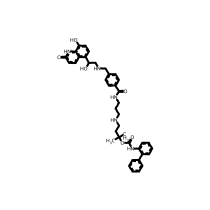 CC(C)(CCNCCCNC(=O)c1ccc(CNCC(O)c2ccc(O)c3[nH]c(=O)ccc23)cc1)OC(=O)Nc1ccccc1-c1ccccc1